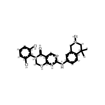 CCN1Cc2cc(Nc3ncc4c(n3)OCN(c3c(Cl)cccc3Cl)C4=O)ccc2C(C)(C)C1